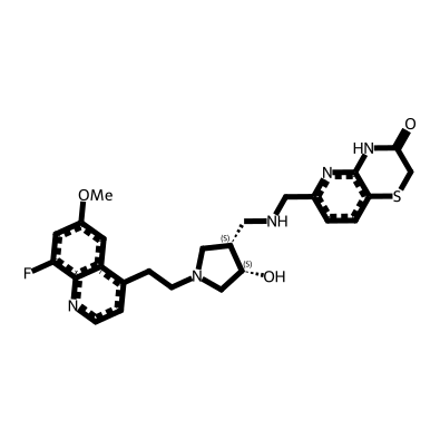 COc1cc(F)c2nccc(CCN3C[C@H](CNCc4ccc5c(n4)NC(=O)CS5)[C@H](O)C3)c2c1